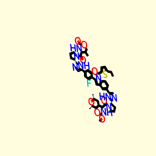 CCc1ccc(C2Oc3cc(-c4cnc([C@@H]5CCCN5C(=O)[C@@H](NC(=O)OC)C(C)C)[nH]4)cc(F)c3-c3cc4cc(-c5cnc([C@@H]6CCCN6C(=O)[C@@H](NC(=O)OC)C6C[C@@H](C)O[C@@H](C)C6)[nH]5)ccc4n32)s1